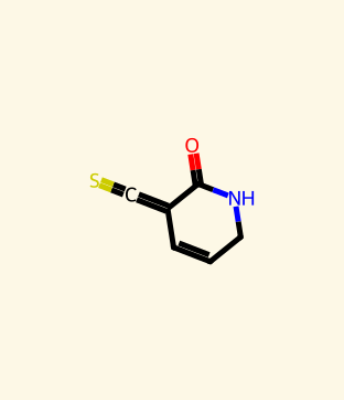 O=C1NCC=CC1=C=S